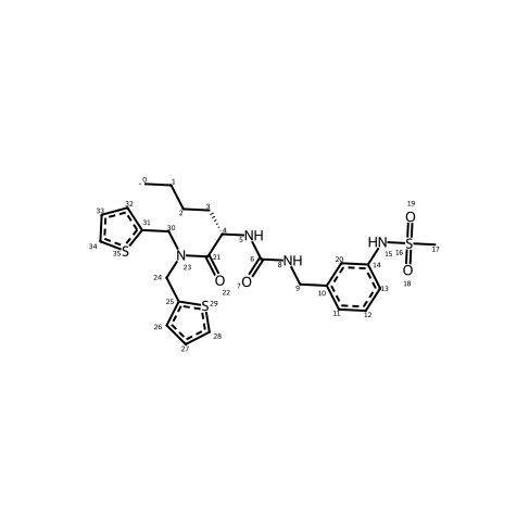 [CH2]CCC[C@H](NC(=O)NCc1cccc(NS(C)(=O)=O)c1)C(=O)N(Cc1cccs1)Cc1cccs1